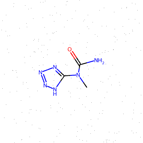 CN(C(N)=O)c1nnn[nH]1